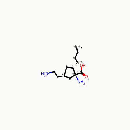 BCCC[C@H]1C[C@H](CCN)C[C@@]1(N)C(=O)O